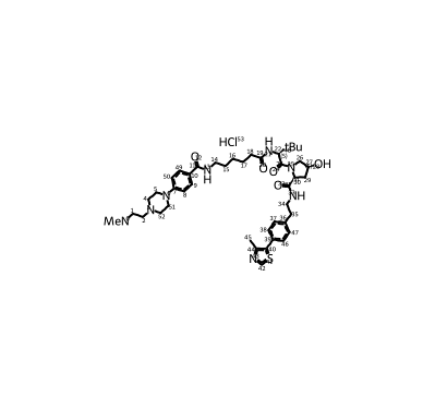 CNCCN1CCN(c2ccc(C(=O)NCCCCCC(=O)N[C@H](C(=O)N3C[C@@H](O)C[C@H]3C(=O)NCCc3ccc(-c4scnc4C)cc3)C(C)(C)C)cc2)CC1.Cl